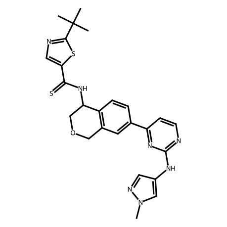 Cn1cc(Nc2nccc(-c3ccc4c(c3)COCC4NC(=S)c3cnc(C(C)(C)C)s3)n2)cn1